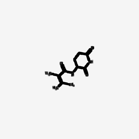 CC(C)=C(C)C(=O)NC1CCC(=O)NC1=O